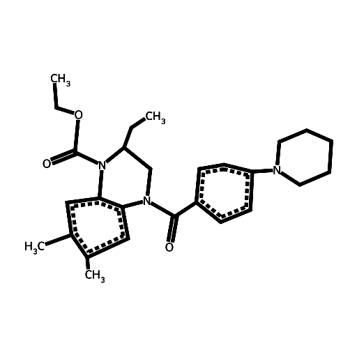 CCOC(=O)N1c2cc(C)c(C)cc2N(C(=O)c2ccc(N3CCCCC3)cc2)CC1CC